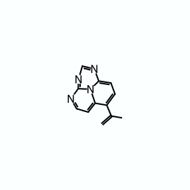 C=C(C)C1=CC=C2N=CN=C3N=CC=C1N23